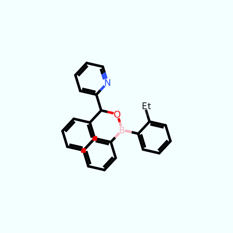 CCc1ccccc1B(OC(c1ccccc1)c1ccccn1)c1ccccc1